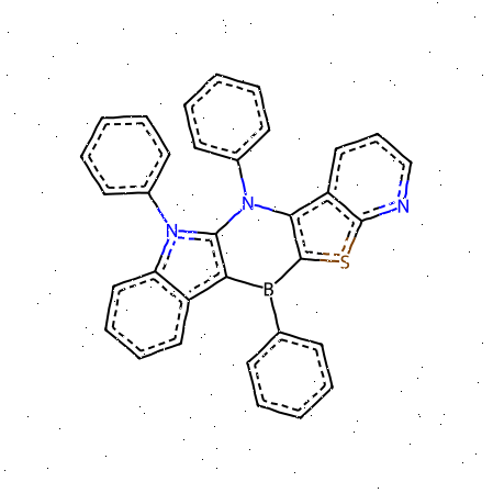 c1ccc(B2c3sc4ncccc4c3N(c3ccccc3)c3c2c2ccccc2n3-c2ccccc2)cc1